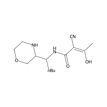 CCCCC(NC(=O)/C(C#N)=C(/C)O)C1COCCN1